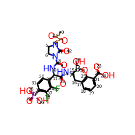 CS(=O)(=O)N1CCN(C(=O)NC(C(=O)N[C@H]2Cc3cccc(C(=O)O)c3OB2O)c2ccc(P(=O)(O)O)c(F)c2F)C1=O